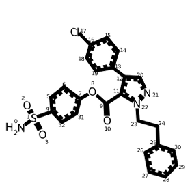 NS(=O)(=O)c1ccc(OC(=O)c2c(-c3ccc(Cl)cc3)cnn2CCc2ccccc2)cc1